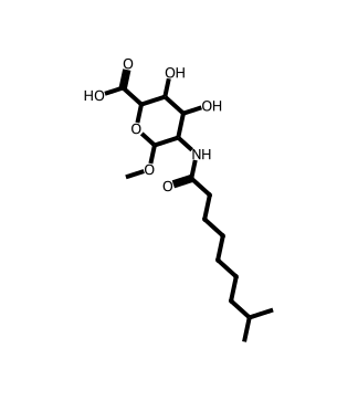 COC1OC(C(=O)O)C(O)C(O)C1NC(=O)CCCCCCC(C)C